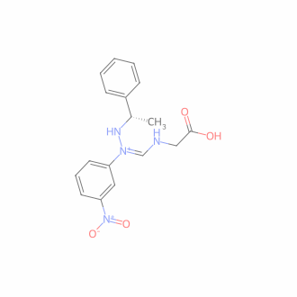 C[C@H](N[N+](=CNCC(=O)O)c1cccc([N+](=O)[O-])c1)c1ccccc1